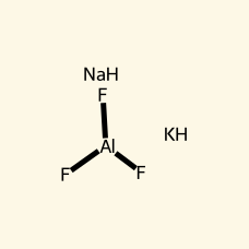 [F][Al]([F])[F].[KH].[NaH]